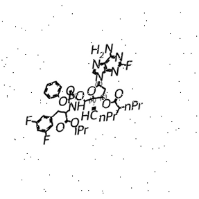 C#C[C@]1(CO[P@@](=O)(NC(Cc2cc(F)cc(F)c2)C(=O)OC(C)C)Oc2ccccc2)O[C@@H](n2cnc3c(N)nc(F)nc32)C[C@@H]1OC(=O)C(CCC)CCC